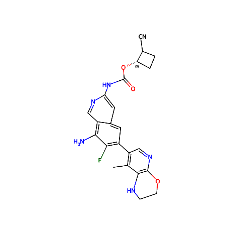 Cc1c(-c2cc3cc(NC(=O)O[C@H]4CCC4C#N)ncc3c(N)c2F)cnc2c1NCCO2